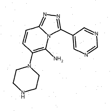 Nc1c(N2CCNCC2)ccc2nnc(-c3cncnc3)n12